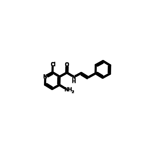 Nc1ccnc(Cl)c1C(=O)NC=Cc1ccccc1